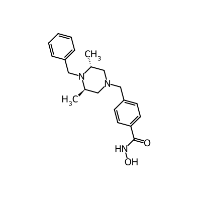 C[C@@H]1CN(Cc2ccc(C(=O)NO)cc2)C[C@@H](C)N1Cc1ccccc1